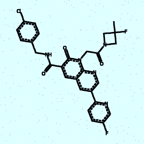 CC1(F)CN(C(=O)Cn2c(=O)c(C(=O)NCc3ccc(Cl)cc3)cc3cc(-c4ccc(F)cn4)cnc32)C1